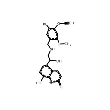 C#COc1cc(OC)c(CNCC(O)c2ccc(O)c3[nH]c(=O)ccc23)cc1Br